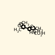 Cc1cc(-c2ccc3c(c2)OCC(C)(C)C3NC(=O)O)cc(C)c1OC(C)C